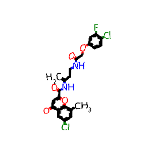 C=C(CCNC(=O)COc1ccc(Cl)c(F)c1)NC(=O)c1cc(=O)c2cc(Cl)cc(C)c2o1